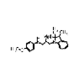 COc1ccc(NCC(O)CN2c3ccccc3C(C)C2(C)C)cc1